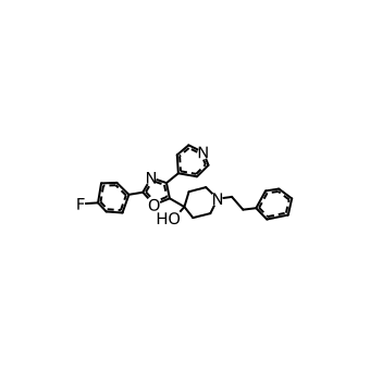 OC1(c2oc(-c3ccc(F)cc3)nc2-c2ccncc2)CCN(CCc2ccccc2)CC1